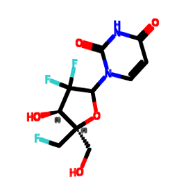 O=c1ccn(C2O[C@@](CO)(CF)[C@@H](O)C2(F)F)c(=O)[nH]1